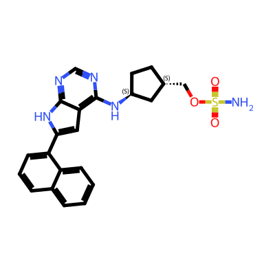 NS(=O)(=O)OC[C@H]1CC[C@H](Nc2ncnc3[nH]c(-c4cccc5ccccc45)cc23)C1